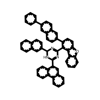 c1ccc(-c2ccc3cc(-c4ccc5oc6ccccc6c5c4C4=NC(c5ccc6ccccc6c5)NC(c5cc6ccccc6c6ccccc56)=N4)ccc3c2)cc1